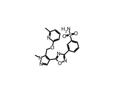 Cc1cccc(OCc2c(-c3nc(-c4cccc(S(N)(=O)=O)c4)no3)cnn2C)n1